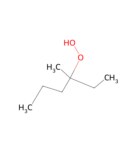 CCCC(C)(CC)OO